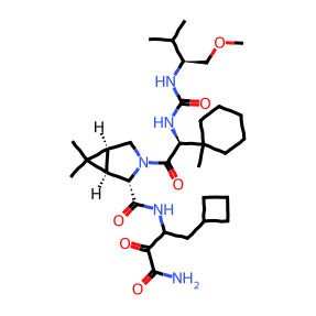 COC[C@@H](NC(=O)N[C@H](C(=O)N1C[C@H]2[C@@H]([C@H]1C(=O)NC(CC1CCC1)C(=O)C(N)=O)C2(C)C)C1(C)CCCCC1)C(C)C